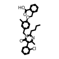 CCCCc1nc(C)c(-c2ccccc2Cl)c(=O)n1Cc1ccc(OCc2ccccc2C(=O)O)c(C)c1